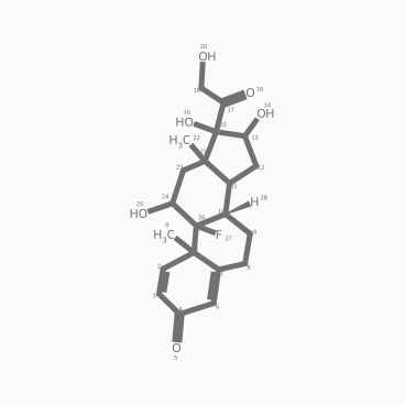 CC12C=CC(=O)C=C1CC[C@H]1C3CC(O)C(O)(C(=O)CO)C3(C)CC(O)C12F